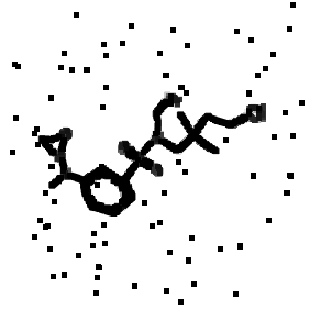 CC(C)CN(CC(C)(C)CCC#N)S(=O)(=O)c1cccc(N(C)B2CO2)c1